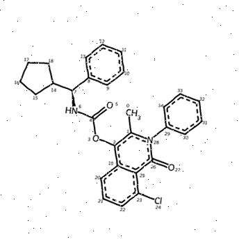 Cc1c(OC(=O)N[C@H](c2ccccc2)C2CCCC2)c2cccc(Cl)c2c(=O)n1-c1ccccc1